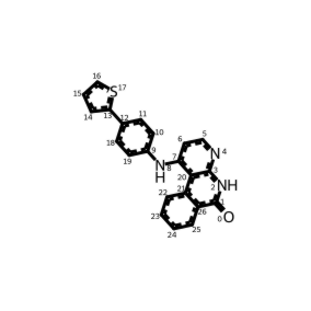 O=c1[nH]c2nccc(Nc3ccc(-c4cccs4)cc3)c2c2ccccc12